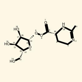 CC1=NCC[C@H](C(=O)OO[C@@H]2O[C@H](CO)[C@@H](O)[C@H]2O)N1